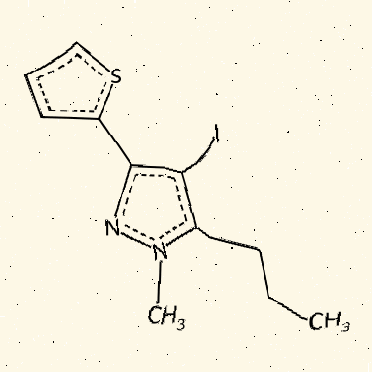 CCCc1c(I)c(-c2cccs2)nn1C